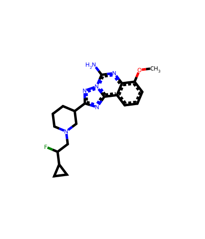 COc1cccc2c1nc(N)n1nc(C3CCCN(CC(F)C4CC4)C3)nc21